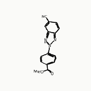 COC(=O)c1ccc(-n2nc3ccc(C#N)cc3n2)cc1